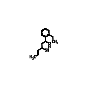 C/C=C/C(S)CC(O)c1ccccc1CC